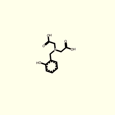 O=C(O)CN(CC(=O)O)Cc1ccccc1O